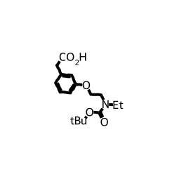 CCN(CCOc1cccc(CC(=O)O)c1)C(=O)OC(C)(C)C